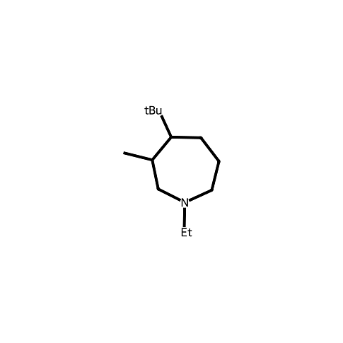 CCN1CCCC(C(C)(C)C)C(C)C1